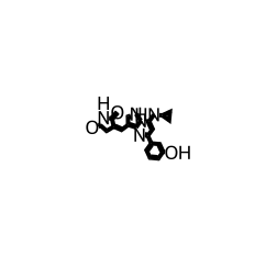 O=C1CC(=Cc2cnn3c(NC4CC4)cc(-c4cccc(O)c4)nc23)C(=O)N1